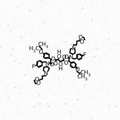 CC(C)COc1ccc(C(OC(=O)C(O)C(O)C(=O)OC(C(=O)N(Cc2ccc(F)cc2)C2CCN(CCCC3OCCO3)CC2)c2ccc(OCC(C)C)cc2)C(=O)N(Cc2ccc(F)cc2)C2CCN(CCCC3OCCO3)CC2)cc1